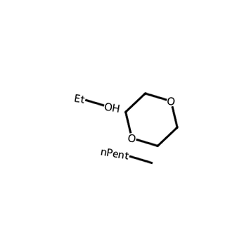 C1COCCO1.CCCCCC.CCO